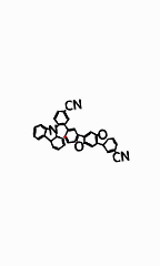 N#CC1=CC2c3cc4oc5ccc(-c6cc(C#N)ccc6N6c7ccccc7C7C=CC=CC76)cc5c4cc3OC2C=C1